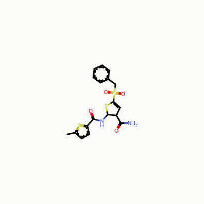 Cc1ccc(C(=O)NC2SC(S(=O)(=O)Cc3ccccc3)=CC2C(N)=O)s1